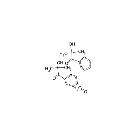 C=O.CC(C)(O)C(=O)c1ccccc1.CC(C)(O)C(=O)c1ccccc1